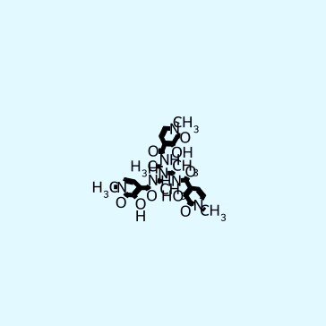 CC(NC(=O)c1ccn(C)c(=O)c1O)N(C(C)NC(=O)c1ccn(C)c(=O)c1O)C(C)NC(=O)c1ccn(C)c(=O)c1O